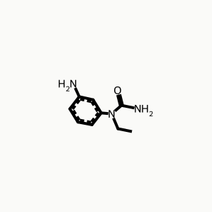 CCN(C(N)=O)c1cccc(N)c1